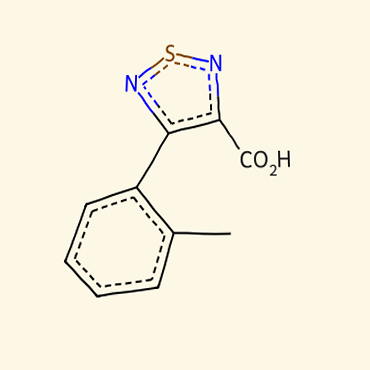 Cc1ccccc1-c1nsnc1C(=O)O